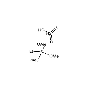 CC[Si](OC)(OC)OC.O=[SH](=O)O